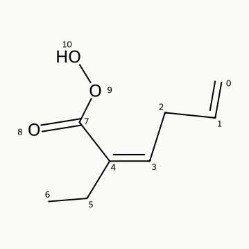 C=CCC=C(CC)C(=O)OO